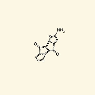 Nc1cc2c(=O)c3c4sccc4c(=O)c=3c2s1